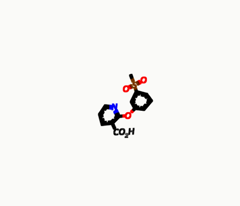 CS(=O)(=O)c1cccc(Oc2ncccc2C(=O)O)c1